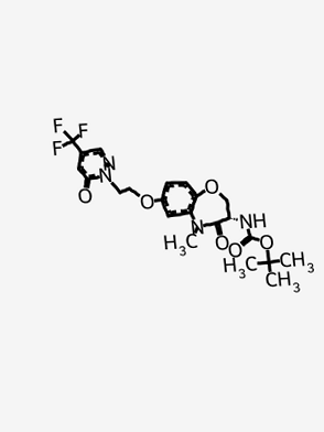 CN1C(=O)[C@@H](NC(=O)OC(C)(C)C)COc2ccc(OCCn3ncc(C(F)(F)F)cc3=O)cc21